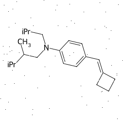 CC(C)CN(CC(C)C(C)C)c1ccc(C=C2CCC2)cc1